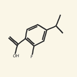 C=C(O)c1ccc(C(C)C)cc1F